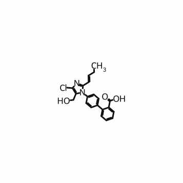 CCC=Cc1nc(Cl)c(CO)n1-c1ccc(-c2ccccc2C(=O)O)cc1